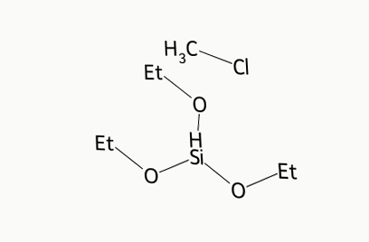 CCO[SiH](OCC)OCC.CCl